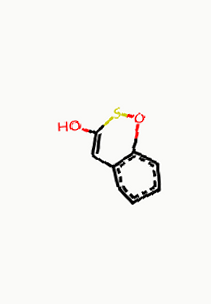 OC1=Cc2ccccc2OS1